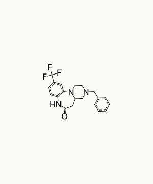 O=C1CC2CN(Cc3ccccc3)CCN2c2cc(C(F)(F)F)ccc2N1